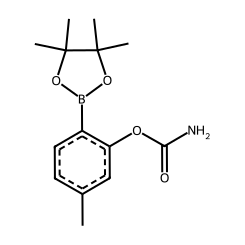 Cc1ccc(B2OC(C)(C)C(C)(C)O2)c(OC(N)=O)c1